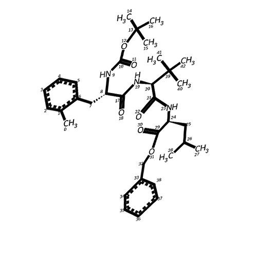 Cc1ccccc1C[C@H](NC(=O)OC(C)(C)C)C(=O)N[C@H](C(=O)N[C@@H](CC(C)C)C(=O)OCc1ccccc1)C(C)(C)C